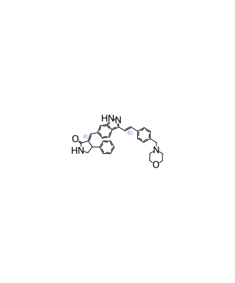 O=C1NCC(c2ccccc2)/C1=C\c1ccc2c(/C=C/c3ccc(CN4CCOCC4)cc3)n[nH]c2c1